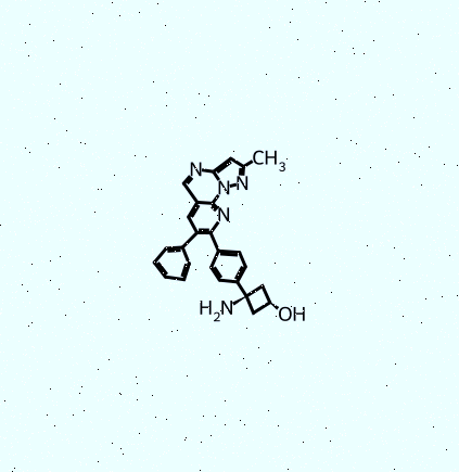 Cc1cc2ncc3cc(-c4ccccc4)c(-c4ccc([C@]5(N)C[C@@H](O)C5)cc4)nc3n2n1